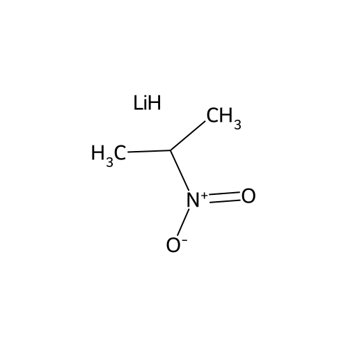 CC(C)[N+](=O)[O-].[LiH]